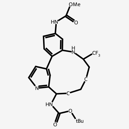 COC(=O)Nc1ccc2c(c1)NC(C(F)(F)F)CCCCC(NC(=O)OC(C)(C)C)c1cc-2ccn1